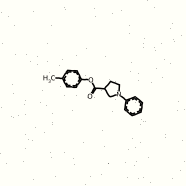 Cc1ccc(OC(=O)C2CCN(c3ccccc3)C2)cc1